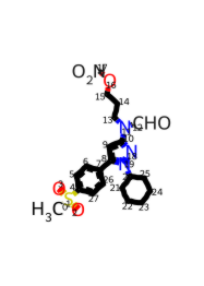 CS(=O)(=O)c1ccc(-c2cc(N(C=O)CCCO[N+](=O)[O-])nn2C2CCCCC2)cc1